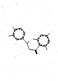 O=C1c2c(O)cc(O)cc2O[C@](O)(c2ccc(O)c(O)c2)[C@H]1O